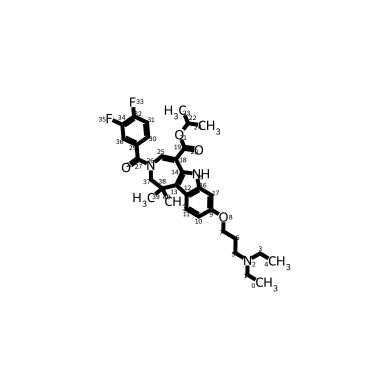 CCN(CC)CCCOc1ccc2c3c([nH]c2c1)C(C(=O)OC(C)C)=CN(C(=O)c1ccc(F)c(F)c1)CC3(C)C